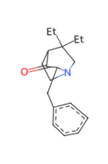 CCC1(CC)CN2CCC1C(=O)C2Cc1ccccc1